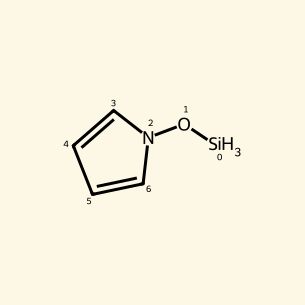 [SiH3]On1cccc1